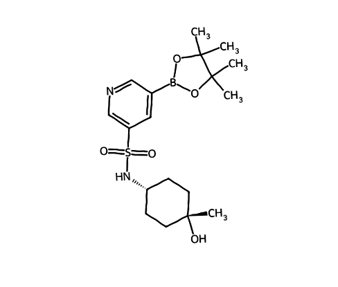 CC1(C)OB(c2cncc(S(=O)(=O)N[C@H]3CC[C@@](C)(O)CC3)c2)OC1(C)C